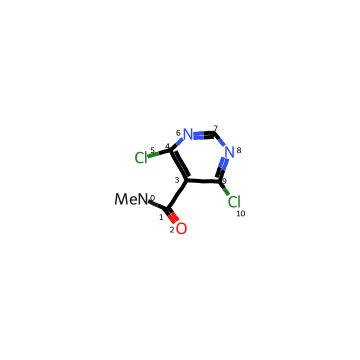 CNC(=O)c1c(Cl)ncnc1Cl